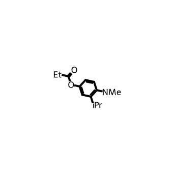 CCC(=O)Oc1ccc(NC)c(C(C)C)c1